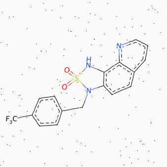 O=S1(=O)Nc2c(ccc3cccnc23)N1Cc1ccc(C(F)(F)F)cc1